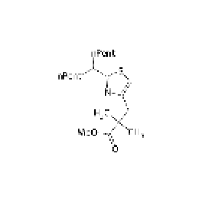 CCCCCC(CCCCC)c1nc(CC(C)(C)C(=O)OC)cs1